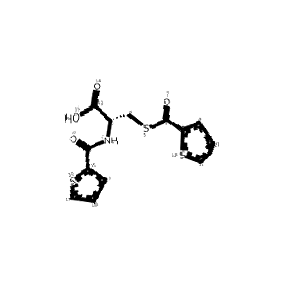 O=C(N[C@@H](CSC(=O)c1cccs1)C(=O)O)c1cccs1